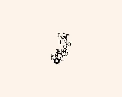 C[C@H](OC(=O)NCC(F)(F)C(F)(F)F)C(=O)N[C@@H]1C(=O)Nc2c(F)cccc2O[C@@H]1C